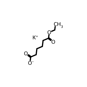 CCOC(=O)CCCCC(=O)[O-].[K+]